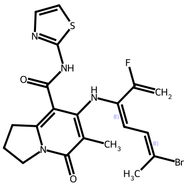 C=C(F)/C(=C\C=C(/C)Br)Nc1c(C(=O)Nc2nccs2)c2n(c(=O)c1C)CCC2